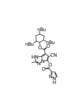 CCCCC1CC(CCCC)C(OC(=O)c2c(C#N)c(OC(=O)c3cc[nH]n3)n3nc(C)[nH]c23)C(CCCC)C1